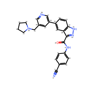 N#Cc1ccc(NC(=O)c2n[nH]c3ccc(-c4cncc(CN5CCCC5)c4)cc23)cc1